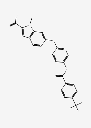 Cn1c(C(=O)O)cc2ccc(Oc3ccc(NC(=O)c4ccc(C(F)(F)F)cc4)cn3)cc21